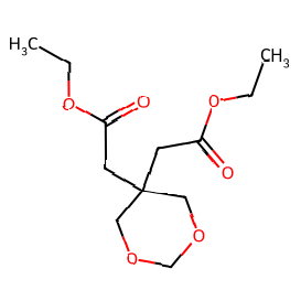 CCOC(=O)CC1(CC(=O)OCC)COCOC1